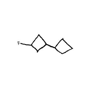 FC1CC(C2CCC2)C1